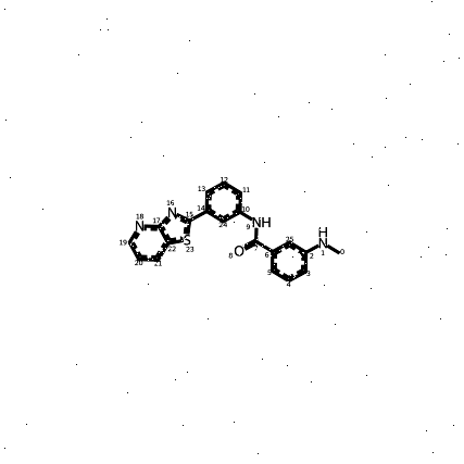 CNc1cccc(C(=O)Nc2cccc(-c3nc4ncccc4s3)c2)c1